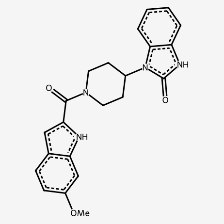 COc1ccc2cc(C(=O)N3CCC(n4c(=O)[nH]c5ccccc54)CC3)[nH]c2c1